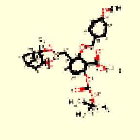 COC(=O)c1c(OC(=O)OC(C)(C)C)ccc(CB2OC3CC4CC(C4(C)C)[C@]3(C)O2)c1OCc1ccc(OC)cc1